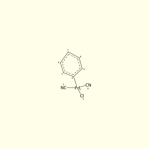 N#[C][Pd]([Cl])([C]#N)[c]1ccccc1